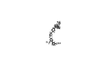 Cc1cc(CN2CCN(c3ccc(C(=O)NS(=O)(=O)CCC(F)(F)F)cc3)CC2)ccc1-c1cncc(O)c1